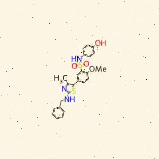 COc1ccc(-c2sc(NCc3ccccc3)nc2C)cc1S(=O)(=O)Nc1ccc(O)cc1